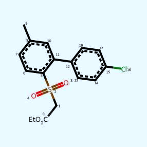 CCOC(=O)CS(=O)(=O)c1ccc(C)cc1-c1ccc(Cl)cc1